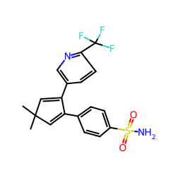 CC1(C)C=C(c2ccc(S(N)(=O)=O)cc2)C(c2ccc(C(F)(F)F)nc2)=C1